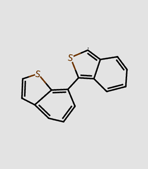 [c]1sc(-c2cccc3ccsc23)c2ccccc12